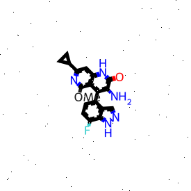 COc1nc(C2CC2)cc2[nH]c(=O)c(N)c(-c3ccc(F)c4[nH]ncc34)c12